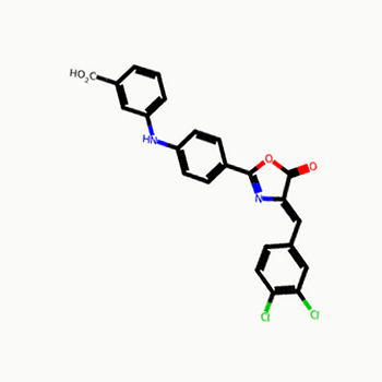 O=C1OC(c2ccc(Nc3cccc(C(=O)O)c3)cc2)=NC1=Cc1ccc(Cl)c(Cl)c1